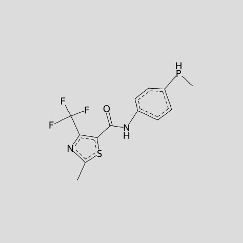 CPc1ccc(NC(=O)c2sc(C)nc2C(F)(F)F)cc1